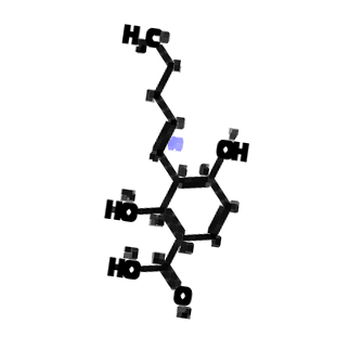 CCC/C=C/c1c(O)ccc(C(=O)O)c1O